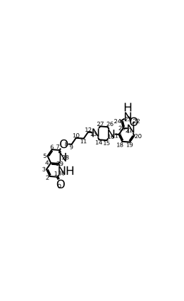 O=c1ccc2ccc(OCCCCN3CCN(C4=CC=CN5ONC=C45)CC3)nc2[nH]1